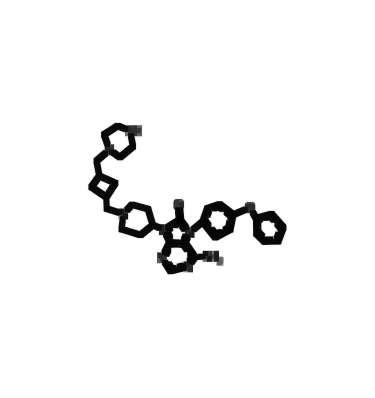 Nc1ncnc2c1n(-c1ccc(Oc3ccccc3)cc1)c(=O)n2C1CCN(CC2CC(CN3CCNCC3)C2)CC1